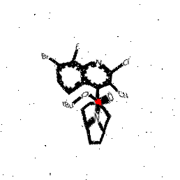 CC(C)(C)OC(=O)N1C2CCC1CN(c1c(C#N)c(Cl)nc3c(F)c(Br)ccc13)C2